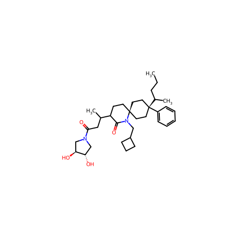 CCCC(C)[C@]1(c2ccccc2)CC[C@@]2(CCC(C(C)CC(=O)N3C[C@H](O)[C@@H](O)C3)C(=O)N2CC2CCC2)CC1